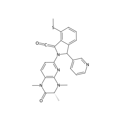 CSc1cccc2c1C(=C=O)N(c1ccc3c(n1)N(C)[C@H](C)C(=O)N3C)C2c1cccnc1